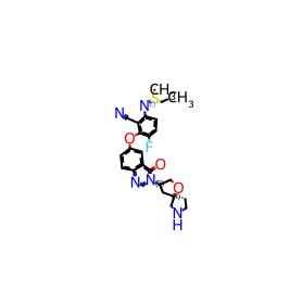 CC/S(C)=N\c1ccc(F)c(Oc2ccc3ncn([C@H]4CO[C@]5(CCNC5)C4)c(=O)c3c2)c1C#N